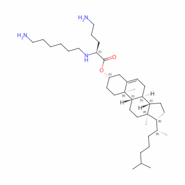 CC(C)CCC[C@@H](C)[C@H]1CC[C@H]2[C@@H]3CC=C4C[C@@H](OC(=O)[C@H](CCCN)NCCCCCCN)CC[C@]4(C)[C@H]3CC[C@]12C